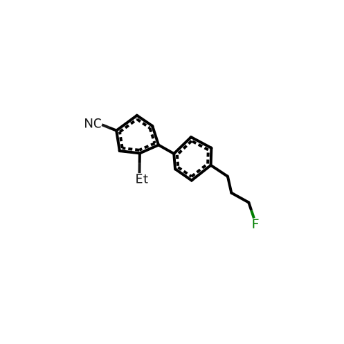 CCc1cc(C#N)ccc1-c1ccc(CCCF)cc1